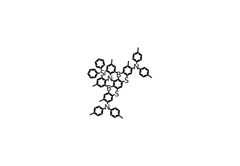 Cc1ccc(N(c2ccc(C)cc2)c2cc3c(cc2C)B2c4cc(C)cc5c4N4c6c(cc(C)cc6[Si]5(c5ccccc5)c5ccccc5)B5c6cc(C)c(N(c7ccc(C)cc7)c7ccc(C)cc7)cc6Sc6cc(c2c4c65)S3)cc1